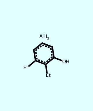 CCc1cccc(O)c1CC.[AlH3]